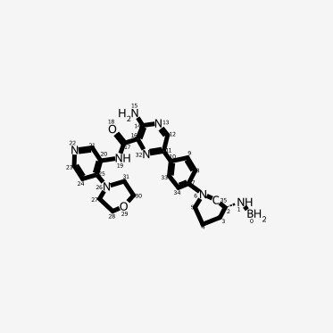 BN[C@@H]1CCCN(c2ccc(-c3cnc(N)c(C(=O)Nc4cnccc4N4CCOCC4)n3)cc2)C1